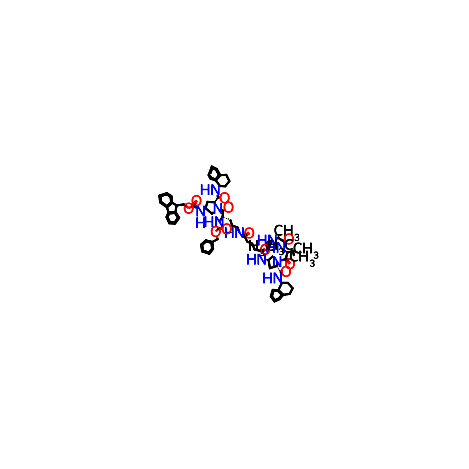 CN[C@@H](C)C(=O)N[C@H](C(=O)N1C[C@@H](NC(=O)CCCC(=O)NCCC[C@H](NC(=O)OCc2ccccc2)C(=O)N2C[C@@H](NC(=O)OCC3c4ccccc4-c4ccccc43)C[C@H]2C(=O)N[C@@H]2CCCc3ccccc32)C[C@H]1C(=O)N[C@@H]1CCCc2ccccc21)C(C)(C)C